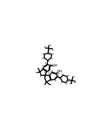 CC1(C)CC2(CC(C)(C)c3cc(C4CCC(C(C)(C)C)CC4)c(O)cc32)c2cc(O)c(C3CCC(C(C)(C)C)CC3)cc21